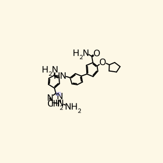 C=N/C(=N\NN)c1ccc(N)c(Nc2cccc(-c3ccc(OC4CCCC4)c(C(N)=O)c3)c2)c1